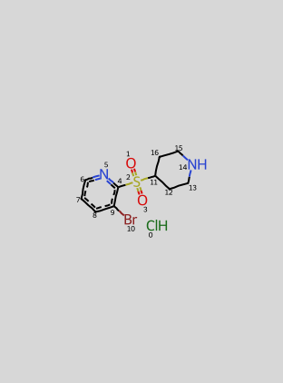 Cl.O=S(=O)(c1ncccc1Br)C1CCNCC1